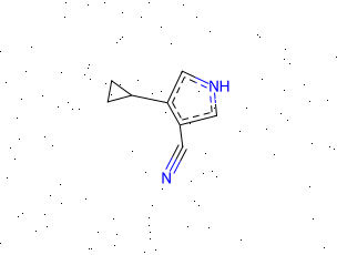 N#Cc1c[nH]cc1C1CC1